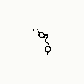 CN1CCN(CCn2ccc3cc([N+](=O)[O-])ccc32)CC1